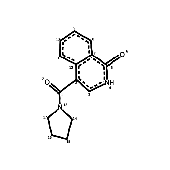 O=C(c1c[nH]c(=O)c2ccccc12)N1CCCC1